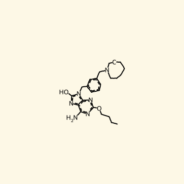 CCCCOc1nc(N)c2nc(O)n(Cc3cccc(CN4CCCCCCC4)c3)c2n1